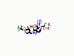 Cc1cc(Cn2cc3c(n2)C=CN(CC(C)O)C3C(N)=O)cnc1OCC(F)(F)F